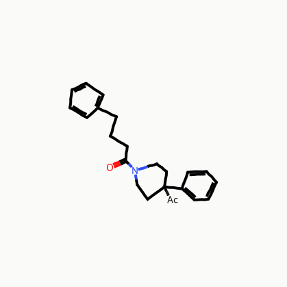 CC(=O)C1(c2ccccc2)CCN(C(=O)CCCc2ccccc2)CC1